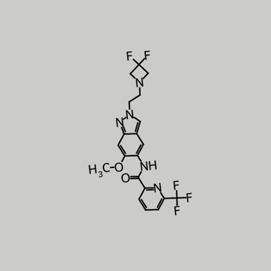 COc1cc2nn(CCN3CC(F)(F)C3)cc2cc1NC(=O)c1cccc(C(F)(F)F)n1